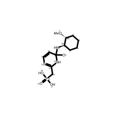 CO[C@@H]1CCCC[C@H]1NC1(Cl)C=CN=C(CP(=O)(O)O)N1